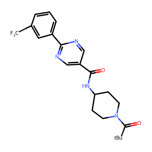 CC(C)(C)C(=O)N1CCC(NC(=O)c2cnc(-c3cccc(C(F)(F)F)c3)nc2)CC1